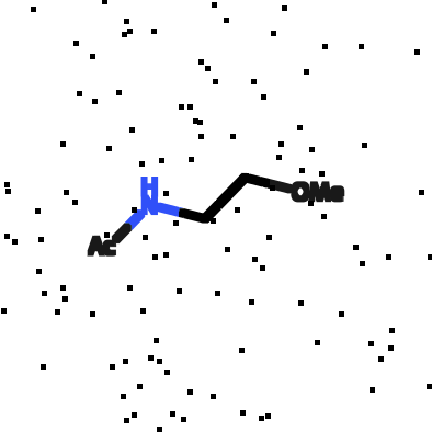 [CH2]C(=O)NCCOC